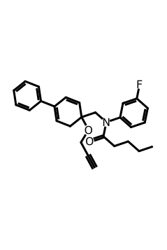 C#CCOC1(CN(C(=O)CCCC)c2cccc(F)c2)C=CC(c2ccccc2)=CC1